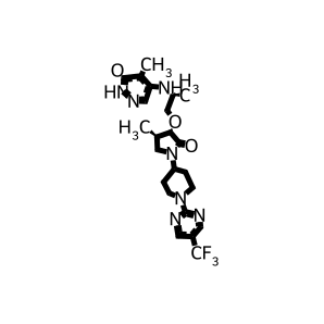 Cc1c(N[C@@H](C)CO[C@@H]2C(=O)N(C3CCN(c4ncc(C(F)(F)F)cn4)CC3)C[C@H]2C)cn[nH]c1=O